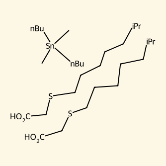 CC(C)CCCCCSCC(=O)O.CC(C)CCCCCSCC(=O)O.CCC[CH2][Sn]([CH3])([CH3])[CH2]CCC